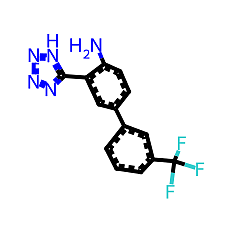 Nc1ccc(-c2cccc(C(F)(F)F)c2)cc1-c1nnn[nH]1